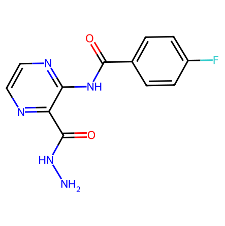 NNC(=O)c1nccnc1NC(=O)c1ccc(F)cc1